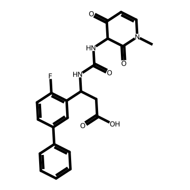 CN1C=CC(=O)C(NC(=O)NC(CC(=O)O)c2cc(-c3ccccc3)ccc2F)C1=O